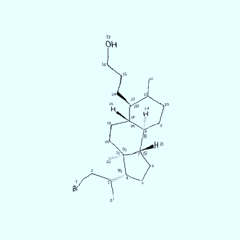 CC(CBr)[C@H]1CC[C@H]2[C@@H]3CCC(C)[C@H](CCCO)[C@H]3CC[C@]12C